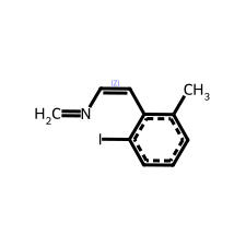 C=N/C=C\c1c(C)cccc1I